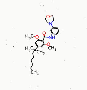 CCCCCCC(C)(C)c1cc(OC)c(C(=O)Nc2cccc(N3CCOCC3)c2)c(OC)c1